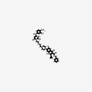 CCc1cc(Nc2cc(=O)n(CCOCCN3CCN(c4cc5[nH]c(C6CC6)c(C(=O)OCc6ccccc6)c(=O)c5cc4F)CC3)c(=O)[nH]2)ccc1C